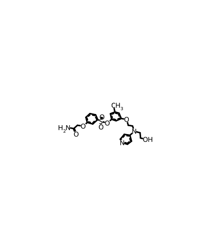 Cc1cc(OCCN(CCO)c2ccncc2)cc(OS(=O)(=O)c2cccc(OCC(N)=O)c2)c1